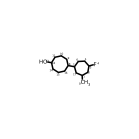 CC1CC(F)CCC(C2CCCC(O)CCC2)C1